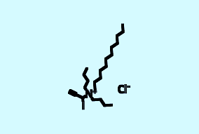 C#CC(I)[N+](CCCC)(CCCC)CCCCCCCCCCCC.[Cl-]